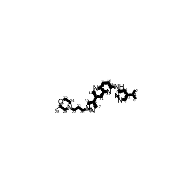 CC(C)c1cnnc(Nc2ccc3ncc(-c4cnn(CCCN5CCO[C@@H](C)C5)c4)cc3n2)c1